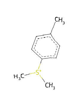 Cc1ccc([S+](C)C)cc1